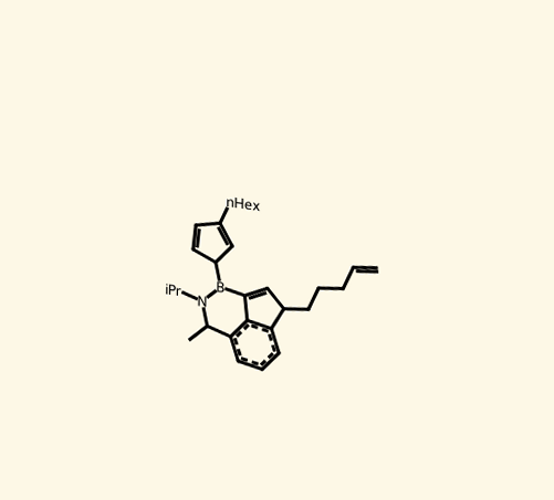 C=CCCCC1C=C2B(C3C=CC(CCCCCC)=C3)N(C(C)C)C(C)c3cccc1c32